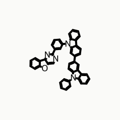 c1ccc(-n2c3ccccc3c3cc(-c4ccc5c6ccccc6n(-c6cccc(-c7ncc8oc9ccccc9c8n7)c6)c5c4)ccc32)cc1